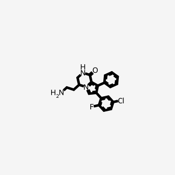 NCCC1CNC(=O)c2c(-c3ccccc3)c(-c3cc(Cl)ccc3F)cn21